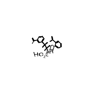 C=C(C)c1cccc(C(C)(C)C(C)(COc2ccccc2C(=C)C)NC(=O)O)c1